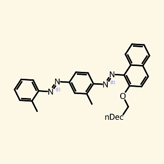 CCCCCCCCCCCOc1ccc2ccccc2c1/N=N/c1ccc(/N=N/c2ccccc2C)cc1C